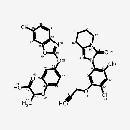 C#CCOc1cc(-n2nc3n(c2=O)CCCC3)c(Cl)cc1Cl.CC(Oc1ccc(Oc2nc3ccc(Cl)cc3o2)cc1)C(=O)O